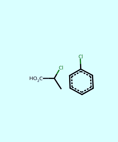 CC(Cl)C(=O)O.Clc1ccccc1